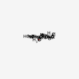 COc1cc2c(Nc3ccc(NC(=O)c4cccc(Cl)c4)nc3)ncnc2cc1OCCCN1CCN(CCO)CC1